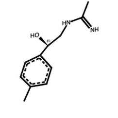 CC(=N)NC[C@H](O)c1ccc(C)cc1